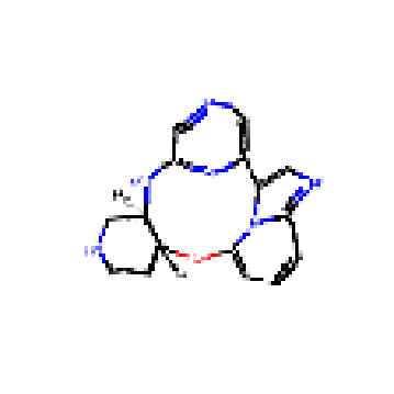 c1cc2n3c(cnc3c1)-c1cncc(n1)N[C@@H]1CNCC[C@H]1O2